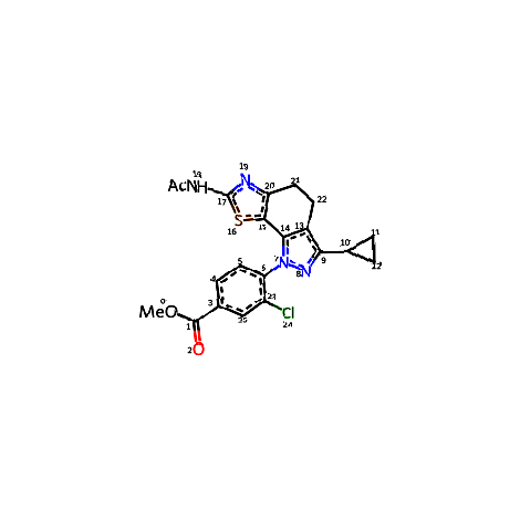 COC(=O)c1ccc(-n2nc(C3CC3)c3c2-c2sc(NC(C)=O)nc2CC3)c(Cl)c1